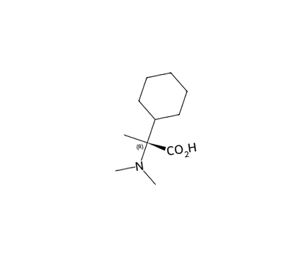 CN(C)[C@@](C)(C(=O)O)C1CCCCC1